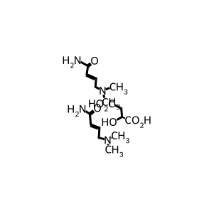 CN(C)CC=CC(N)=O.CN(C)CC=CC(N)=O.O=C(O)C[C@H](O)C(=O)O